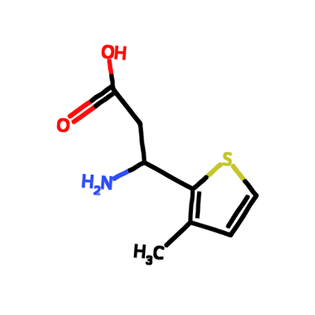 Cc1ccsc1C(N)CC(=O)O